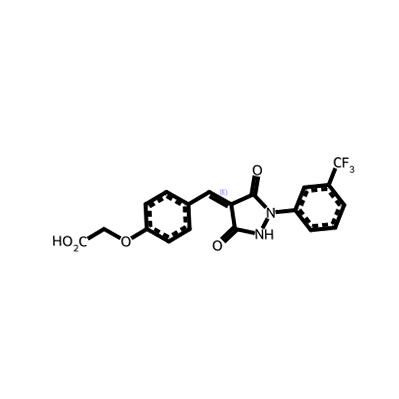 O=C(O)COc1ccc(/C=C2\C(=O)NN(c3cccc(C(F)(F)F)c3)C2=O)cc1